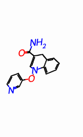 NC(=O)C1=CN(Oc2cccnc2)c2ccccc2C1